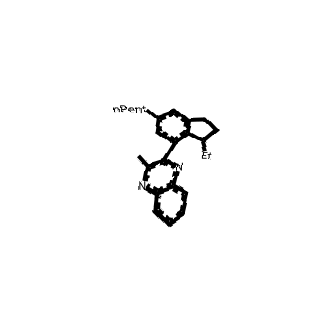 CCCCCc1cc2c(c(-c3nc4ccccc4nc3C)c1)C(CC)CC2